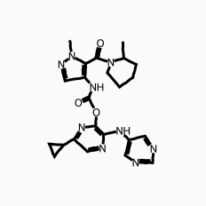 CC1CCCCN1C(=O)c1c(NC(=O)Oc2nc(C3CC3)cnc2Nc2cncnc2)cnn1C